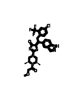 COCC(=O)N1[C@H](C)CN(C2=NC(=O)C(=C(Cc3ccc(Cl)cc3C(F)(F)F)c3ccc4[nH]ncc4c3)S2)C[C@@H]1C